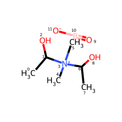 CC(O)[N+](C)(C)C(C)O.O=B[O-]